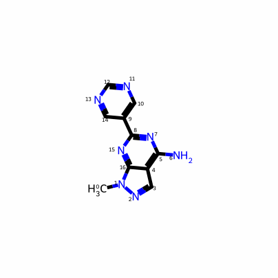 Cn1ncc2c(N)nc(-c3cncnc3)nc21